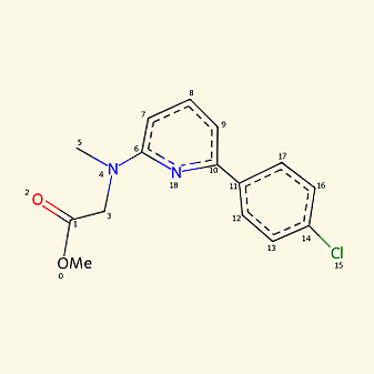 COC(=O)CN(C)c1cccc(-c2ccc(Cl)cc2)n1